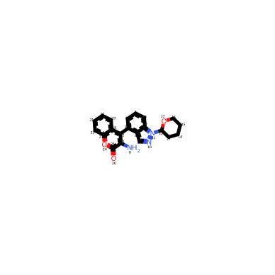 Nc1c(-c2cccc3c2cnn3C2CCCCO2)c2ccccc2oc1=O